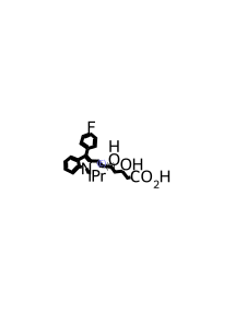 CC(C)n1c(/C=C/[C@@H](O)CC(O)CC(=O)O)c(-c2ccc(F)cc2)c2ccccc21